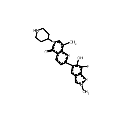 Cc1cn(C2CCNCC2)c(=O)c2ccc(-c3cc4cn(C)nc4c(F)c3O)nc12